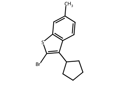 Cc1ccc2c(C3CCCC3)c(Br)sc2c1